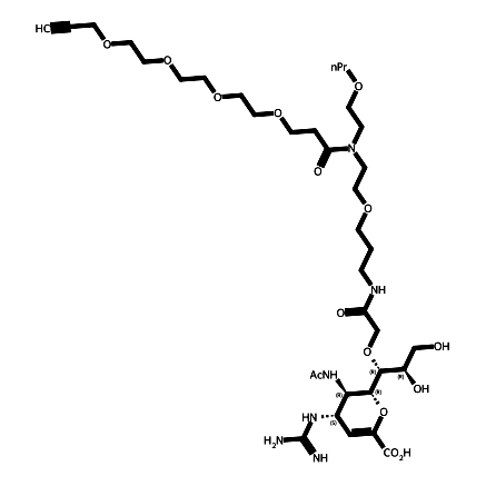 C#CCOCCOCCOCCOCCC(=O)N(CCOCCC)CCOCCCNC(=O)CO[C@@H]([C@@H]1OC(C(=O)O)=C[C@H](NC(=N)N)[C@H]1NC(C)=O)[C@H](O)CO